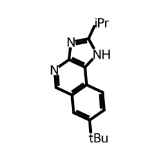 CC(C)c1nc2ncc3cc(C(C)(C)C)ccc3c2[nH]1